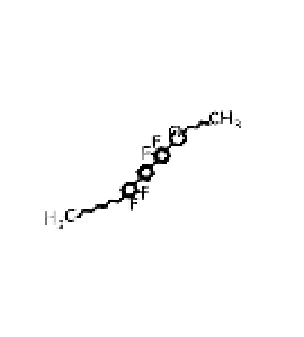 CCCCCCCCc1ccc(-c2ccc(-c3ccc(C4CCC(CCCCC)OC4)c(F)c3F)cc2)c(F)c1F